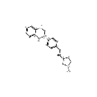 CC(=O)N1CC[C@H](NCc2ccc([C@H]3COc4ccccc4O3)cc2)C1